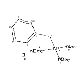 CCCCCCCCCC[N+](CCCCCCCCCC)(CCCCCCCCCC)Cc1ccccc1.[Cl-]